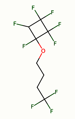 FC1C(F)(F)C(F)(F)C1(F)OCCCC(F)(F)F